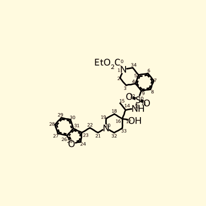 CCOC(=O)N1CCc2c(cccc2S(=O)(=O)NC(C)C2(O)CCN(CCc3coc4ccccc34)CC2)C1